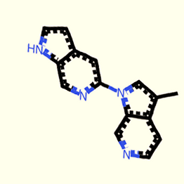 Cc1cn(-c2cc3cc[nH]c3cn2)c2cnccc12